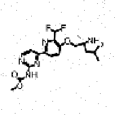 COC(=O)Nc1nccc(-c2ccc(OC[C@@](C)(N)CC(C)C)c(C(F)F)n2)n1